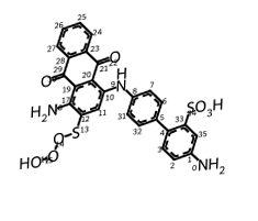 Nc1ccc(-c2ccc(Nc3cc(SOOO)c(N)c4c3C(=O)c3ccccc3C4=O)cc2)c(S(=O)(=O)O)c1